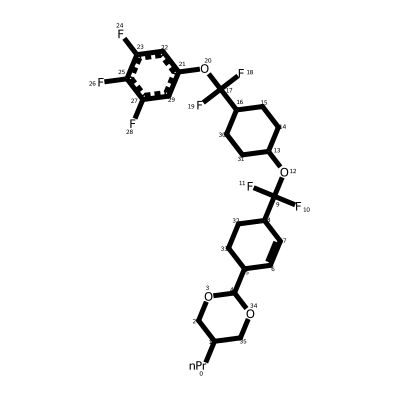 CCCC1COC(C2C=CC(C(F)(F)OC3CCC(C(F)(F)Oc4cc(F)c(F)c(F)c4)CC3)CC2)OC1